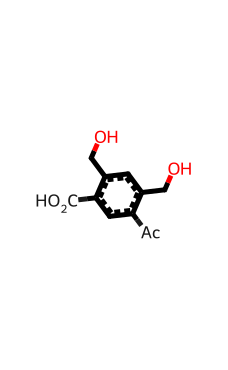 CC(=O)c1cc(C(=O)O)c(CO)cc1CO